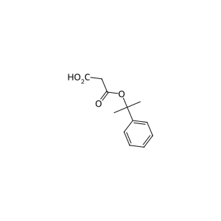 CC(C)(OC(=O)CC(=O)O)c1ccccc1